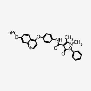 CCCOc1ccc2c(Oc3ccc(NC(=O)c4c(C)n(C)n(-c5ccccc5)c4=O)cc3)ccnc2c1